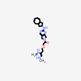 CN/C=C(/CCOCC(=O)N1Cc2cnc(N[C@H]3CC4=C(CC=CC=C4)C3)nc2C1)NC